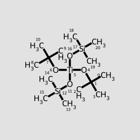 CC(C)(C)[O][Ti]([O]C(C)(C)C)([O][Si](C)(C)C)[O][Si](C)(C)C